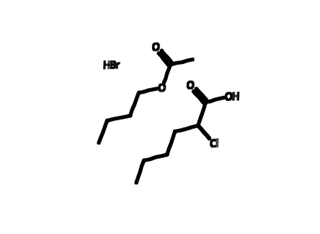 Br.CCCCC(Cl)C(=O)O.CCCCOC(C)=O